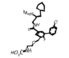 CNC(CNC(=O)c1cc(COCCNC(=O)O)c(F)c(-c2cccc(Cl)c2)c1)CC1CCCCC1